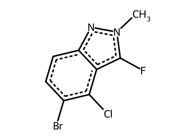 Cn1nc2ccc(Br)c(Cl)c2c1F